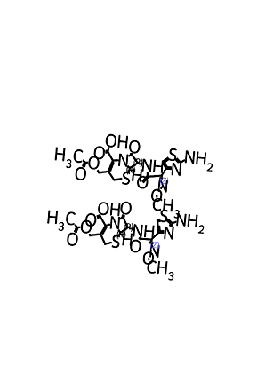 CO/N=C(\C(=O)N[C@@H]1C(=O)N2C(C(=O)O)=C(COC(C)=O)CS[C@H]12)c1csc(N)n1.CO/N=C(\C(=O)N[C@@H]1C(=O)N2C(C(=O)O)=C(COC(C)=O)CS[C@H]12)c1csc(N)n1